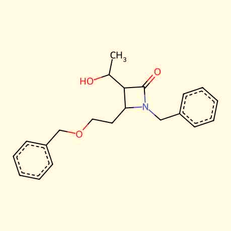 CC(O)C1C(=O)N(Cc2ccccc2)C1CCOCc1ccccc1